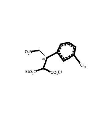 CCOC(=O)C(C(=O)OCC)[C@H](C[N+](=O)[O-])c1cccc(C(F)(F)F)c1